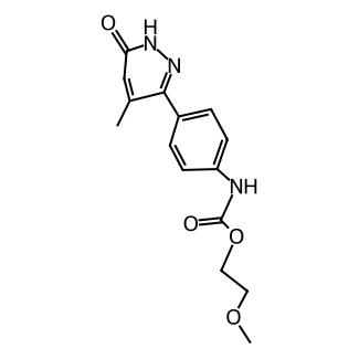 COCCOC(=O)Nc1ccc(-c2n[nH]c(=O)cc2C)cc1